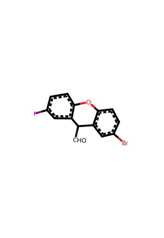 O=CC1c2cc(Br)ccc2Oc2ccc(I)cc21